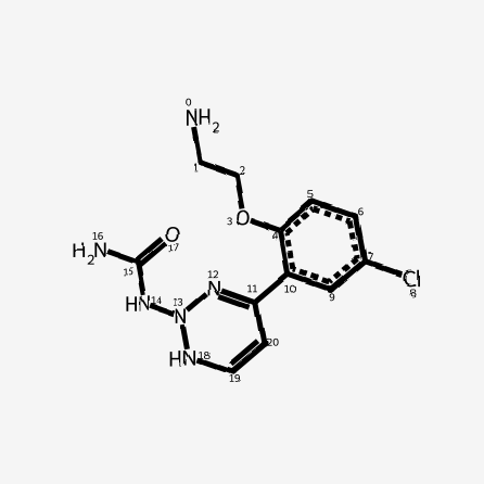 NCCOc1ccc(Cl)cc1C1=NN(NC(N)=O)NC=C1